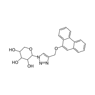 OC1COC(n2cc(COc3cc4ccccc4c4ccccc34)nn2)C(O)C1O